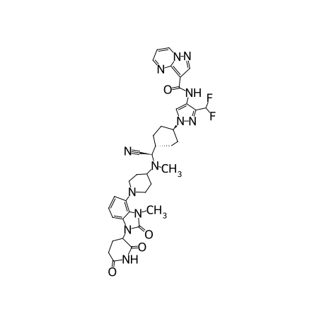 CN(C1CCN(c2cccc3c2n(C)c(=O)n3C2CCC(=O)NC2=O)CC1)[C@@H](C#N)[C@H]1CC[C@H](n2cc(NC(=O)c3cnn4cccnc34)c(C(F)F)n2)CC1